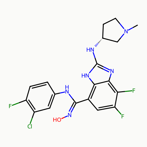 CN1CC[C@@H](Nc2nc3c(F)c(F)cc(/C(=N/O)Nc4ccc(F)c(Cl)c4)c3[nH]2)C1